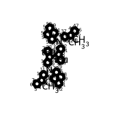 CC1(C)c2ccccc2-c2ccc(N(c3ccc4c(c3)C(C(C)(C)C)(C3(C(C)(C)C)c5ccccc5-c5ccc(N(c6ccc7c(c6)C(C)(C)c6ccccc6-7)c6ccc7ccc8cccc9ccc6c7c89)cc53)c3ccccc3-4)c3ccc4ccc5cccc6ccc3c4c56)cc21